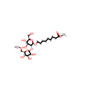 COC[C@H]1O[C@@H](O[C@H]2[C@@H](OCCCCCCCCC(=O)OC)O[C@H](CO)[C@@H](O)[C@@H]2O)[C@H](O)[C@@H](O)[C@@H]1O